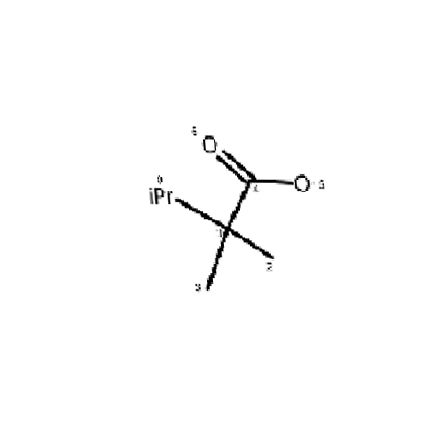 CC(C)C(C)(C)C([O])=O